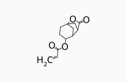 C=CC(=O)OC1CCC23CC(C(=O)O2)C1C3